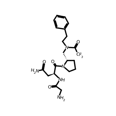 NCC(=O)N[C@@H](CC(N)=O)C(=O)N1CCC[C@H]1CN(CCc1ccccc1)C(=O)C(F)(F)F